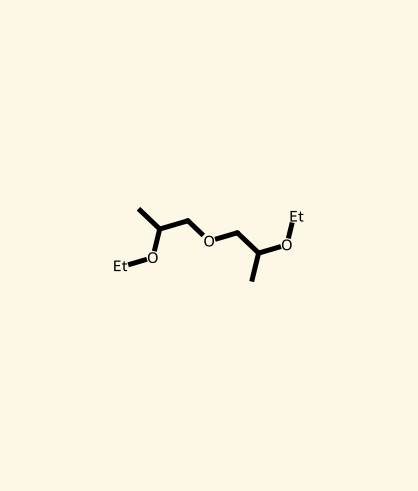 CCOC(C)COCC(C)OCC